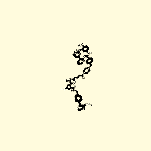 Cc1ccc(NC(=O)c2ccc(CN3CCN(C(=O)CCCC(=O)N[C@H](C(=O)N4CC(O)CC4C(=O)NCc4ccc(-c5scnc5C)cc4)C(C)(C)C)CC3)cc2)cc1Nc1nccc(-c2cccnc2)n1